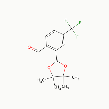 CC1(C)OB(c2cc(C(F)(F)F)ccc2C=O)OC1(C)C